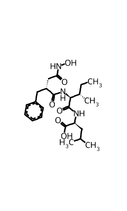 CC[C@H](C)[C@H](NC(=O)[C@@H](CC(=O)NO)Cc1ccccc1)C(=O)N[C@@H](CC(C)C)C(=O)O